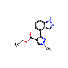 CCOC(=O)c1cn(C)nc1-c1cccc2[nH]ncc12